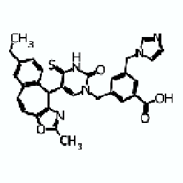 CCc1ccc2c(c1)C=Cc1oc(C)nc1C2c1cn(Cc2cc(Cn3ccnc3)cc(C(=O)O)c2)c(=O)[nH]c1=S